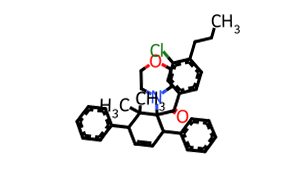 CCCc1ccc(C(=O)C2(N3CCOCC3)C(c3ccccc3)C=CC(c3ccccc3)C2(C)C)cc1Cl